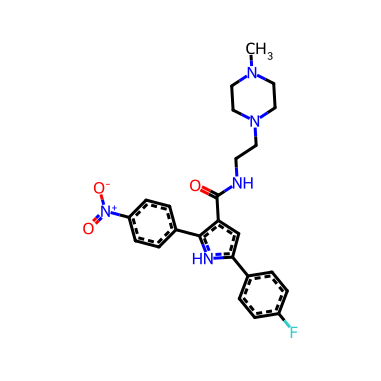 CN1CCN(CCNC(=O)c2cc(-c3ccc(F)cc3)[nH]c2-c2ccc([N+](=O)[O-])cc2)CC1